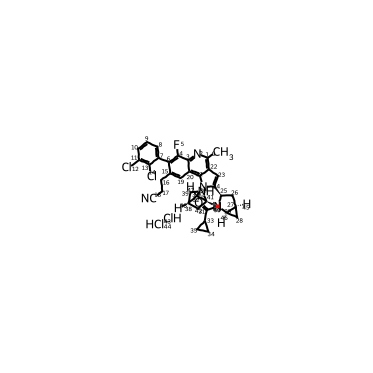 Cc1nc2c(F)c(-c3cccc(Cl)c3Cl)c(CCC#N)cc2c2c1cc([C@H]1C[C@H]3C[C@H]3N1C(=O)C1CC1)n2[C@H]1[C@H]2CN[C@@H]1C2.Cl.Cl